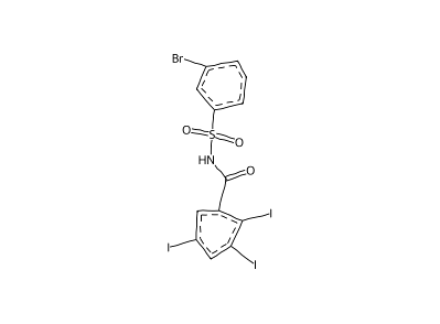 O=C(NS(=O)(=O)c1cccc(Br)c1)c1cc(I)cc(I)c1I